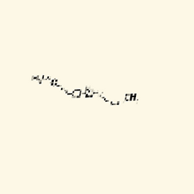 CCC/C=C\CCCCOc1ccc(-c2ccc(CCCCCOCCC)cc2)nc1